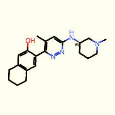 Cc1cc(N[C@@H]2CCCN(C)C2)nnc1-c1cc2c(cc1O)CCCC2